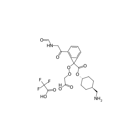 NC[C@H]1CC[C@H](OC(=O)C2(OOCC(=O)O)c3cccc(C(=O)CNC=O)c32)CC1.O=C(O)C(F)(F)F